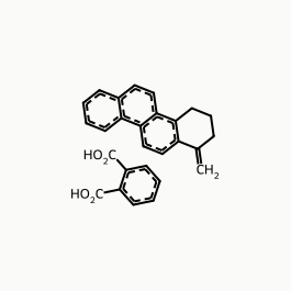 C=C1CCCc2c1ccc1c2ccc2ccccc21.O=C(O)c1ccccc1C(=O)O